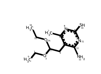 CCOC(Cc1c(C)nc(S)nc1N)OCC